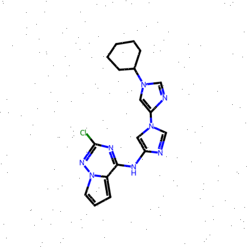 Clc1nc(Nc2cn(-c3cn(C4CCCCC4)cn3)cn2)c2cccn2n1